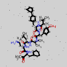 CC(=O)[C@H](CC1CCCCC1)NC(=O)[C@H](CCN)NC(=O)[C@@H](CC(C)C)NC(=O)[C@H](C)N(C)C(=O)[C@H](Cc1ccc(O)cc1)NC(=O)[C@H](Cc1ccc(-c2ccccc2)cc1)NC(=O)[C@@H](C)C(C)C